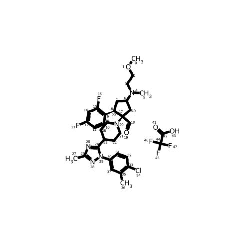 COCCN(C)C1C[C@H](c2ccc(F)cc2F)[C@](C=O)(N2CCC(c3nc(C)nn3-c3ccc(Cl)c(C)c3)CC2)C1.O=C(O)C(F)(F)F